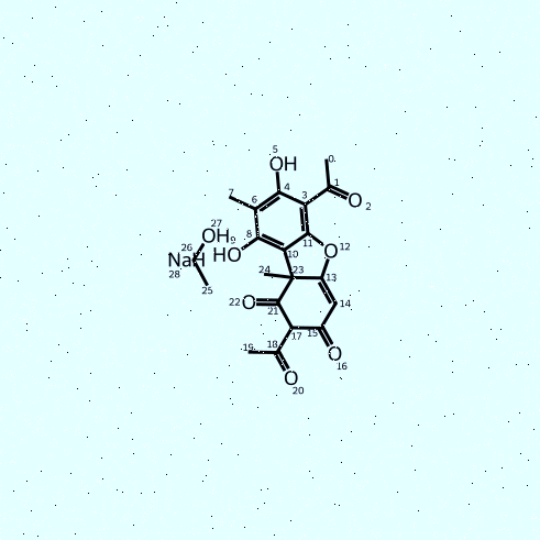 CC(=O)c1c(O)c(C)c(O)c2c1OC1=CC(=O)C(C(C)=O)C(=O)C12C.CCO.[NaH]